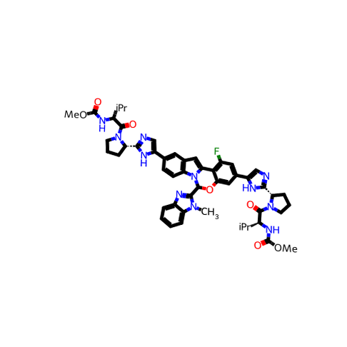 COC(=O)NC(C(=O)N1CCC[C@H]1c1ncc(-c2ccc3c(c2)cc2n3C(c3nc4ccccc4n3C)Oc3cc(-c4cnc([C@@H]5CCCN5C(=O)[C@@H](NC(=O)OC)C(C)C)[nH]4)cc(F)c3-2)[nH]1)C(C)C